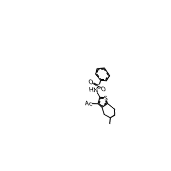 CC(=O)c1c(NS(=O)(=O)c2ccccc2)sc2c1CC(C)CC2